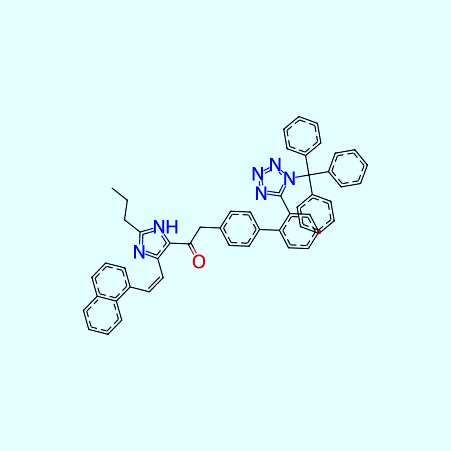 CCCc1nc(/C=C\c2cccc3ccccc23)c(C(=O)Cc2ccc(-c3ccccc3-c3nnnn3C(c3ccccc3)(c3ccccc3)c3ccccc3)cc2)[nH]1